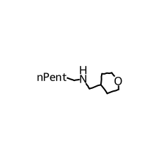 CCCCCCNCC1CCOCC1